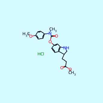 COC(=O)CCC1CNc2cc(OC(=O)N(C)c3ccc(OC)cc3)ccc21.Cl